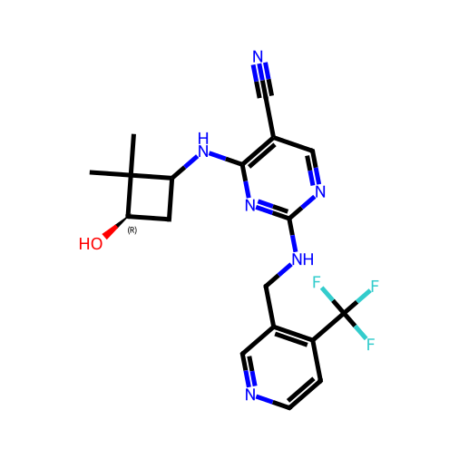 CC1(C)C(Nc2nc(NCc3cnccc3C(F)(F)F)ncc2C#N)C[C@H]1O